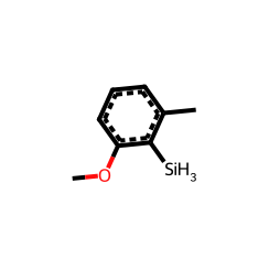 COc1cccc(C)c1[SiH3]